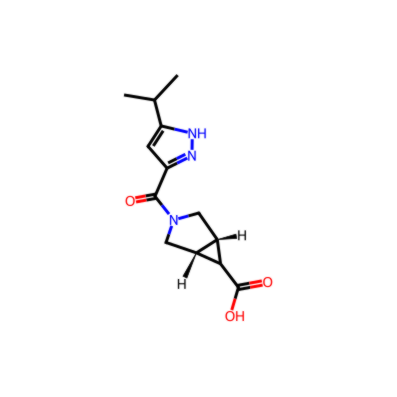 CC(C)c1cc(C(=O)N2C[C@@H]3C(C(=O)O)[C@@H]3C2)n[nH]1